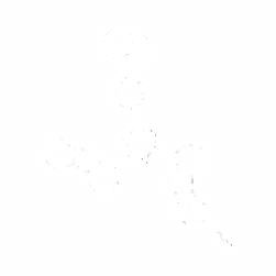 N#Cc1ccc2oc3c(-c4nc(-c5ccc(C67CC8CC(CC(C8)C6)C7)cc5)nc(-c5cccc6c5oc5ccccc56)n4)cccc3c2c1